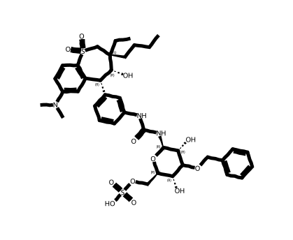 CCCC[C@]1(CC)CS(=O)(=O)c2ccc(N(C)C)cc2[C@@H](c2cccc(NC(=O)N[C@@H]3O[C@H](COS(=O)(=O)O)[C@@H](O)C(OCc4ccccc4)[C@H]3O)c2)[C@H]1O